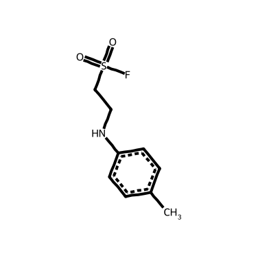 Cc1ccc(NCCS(=O)(=O)F)cc1